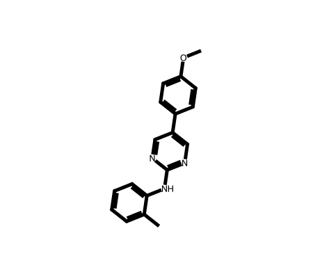 COc1ccc(-c2cnc(Nc3ccccc3C)nc2)cc1